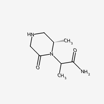 CC(C(N)=O)N1C(=O)CNC[C@@H]1C